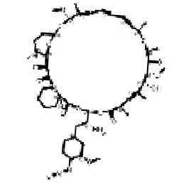 CO[C@H]1C[C@@H]2CC[C@@H](C)[C@@](O)(O2)C(=O)C(=O)N2CCCC[C@H]2C(=O)O[C@H]([C@H](N)C[C@@H]2CCC(N=[N+]=[N-])[C@H](OC)C2)CC(=O)[C@H](C)/C=C(\C)[C@@H](O)[C@@H](OC)C(=O)[C@H](C)C[C@H](C)/C=C/C=C/C=C/1C